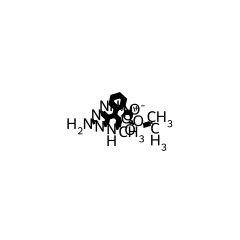 CC1=C(OC(=O)OCC(C)C)C(c2ccccc2[N+](=O)[O-])c2c(N)nc(N)nc2N1